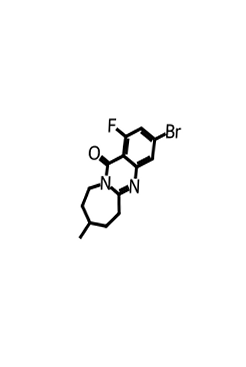 CC1CCc2nc3cc(Br)cc(F)c3c(=O)n2CC1